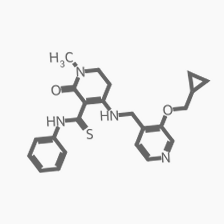 CN1CCC(NCc2ccncc2OCC2CC2)=C(C(=S)Nc2ccccc2)C1=O